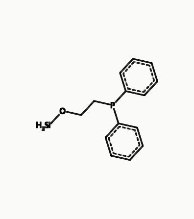 [SiH3]OCCP(c1ccccc1)c1ccccc1